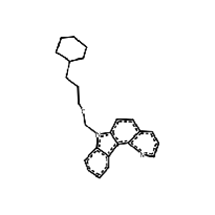 c1cnc2c(c1)ccc1c2c2ccccc2n1CCCCCC1CCCCC1